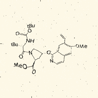 C=Cc1cc2c(O[C@@H]3C[C@@H](C(=O)OC)N(C(=O)[C@@H](NC(=O)OC(C)(C)C)C(C)(C)C)C3)nccc2cc1OC